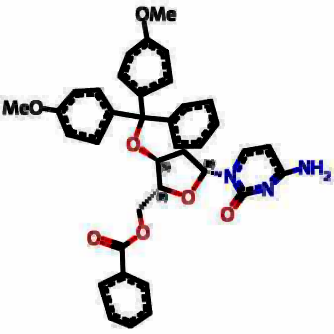 COc1ccc(C(O[C@H]2C[C@H](n3ccc(N)nc3=O)O[C@@H]2COC(=O)c2ccccc2)(c2ccccc2)c2ccc(OC)cc2)cc1